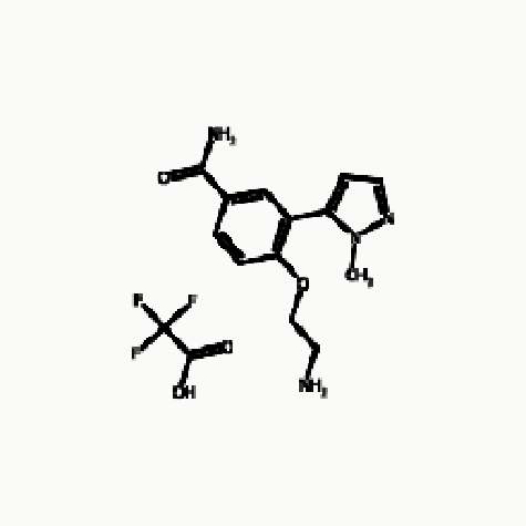 Cn1nccc1-c1cc(C(N)=O)ccc1OCCN.O=C(O)C(F)(F)F